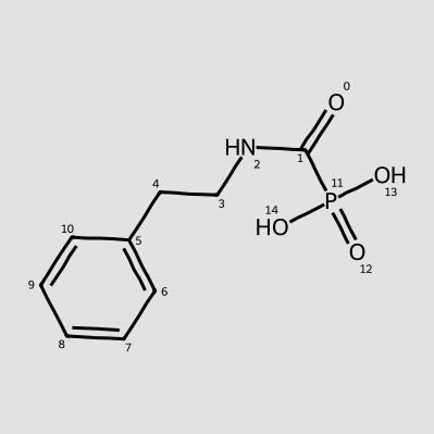 O=C(NCCc1ccccc1)P(=O)(O)O